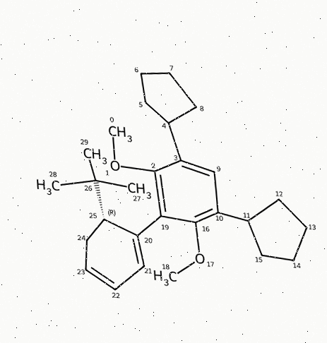 COc1c(C2CCCC2)cc(C2CCCC2)c(OC)c1C1=CC=CC[C@@H]1C(C)(C)C